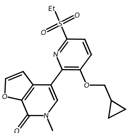 CCS(=O)(=O)c1ccc(OCC2CC2)c(-c2cn(C)c(=O)c3occc23)n1